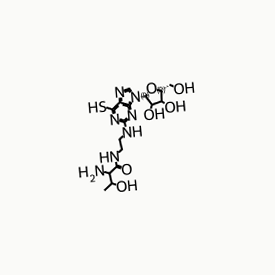 CC(O)C(N)C(=O)NCCNc1nc(S)c2ncn([C@@H]3O[C@H](CO)C(O)C3O)c2n1